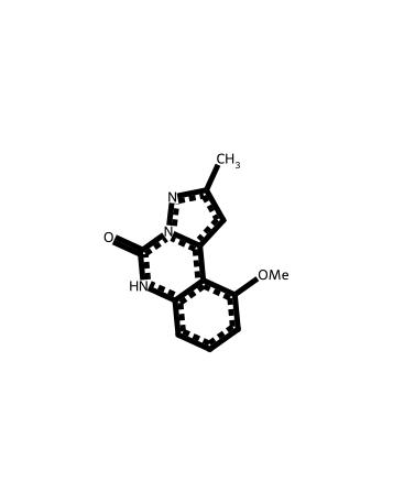 COc1cccc2[nH]c(=O)n3nc(C)cc3c12